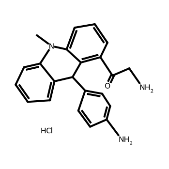 CN1c2ccccc2C(c2ccc(N)cc2)c2c(C(=O)CN)cccc21.Cl